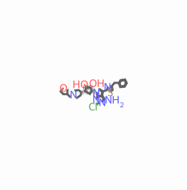 Nc1nc(Cl)nc2c1c(-c1nc(Cc3ccccc3)cs1)cn2[C@@H]1C[C@H](C2CCN(CC3CCOC3)CC2)[C@@H](O)[C@H]1O